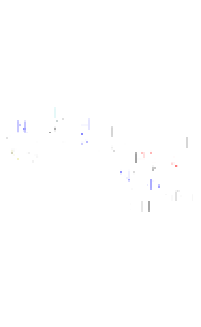 C=C(/C=C\N(C)C(C)N(CCCC)C(=O)OC(C)(C)C)Nc1ccc2scnc2c1F